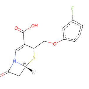 O=C(O)C1=CN2C(=O)C[C@H]2SC1COc1cccc(F)c1